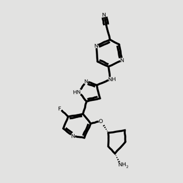 N#Cc1cnc(Nc2cc(-c3c(F)cncc3O[C@@H]3CC[C@H](N)C3)[nH]n2)cn1